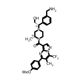 COc1ccc(-c2nc3c(C(=O)N4CCN([C@H](CO)c5cccc(CN)c5)C[C@H]4C)cnn3c(C(F)(F)F)c2C)cc1